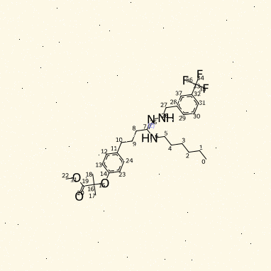 CCCCCCN/C(CCCc1ccc(OC(C)(C)C(=O)OC)cc1)=N\NCc1cccc(C(F)(F)F)c1